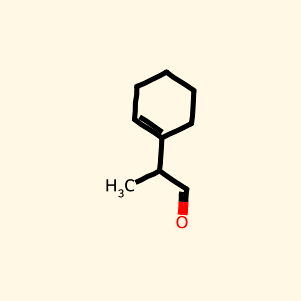 CC(C=O)C1=CCCCC1